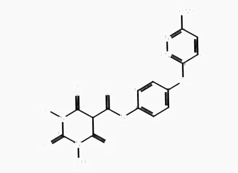 COc1ccc(Oc2ccc(NC(=O)C3C(=O)N(C)C(=O)N(C)C3=O)cc2)nn1